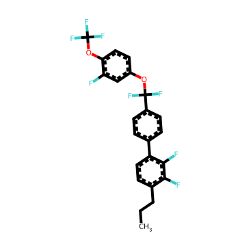 CCCc1ccc(-c2ccc(C(F)(F)Oc3ccc(OC(F)(F)F)c(F)c3)cc2)c(F)c1F